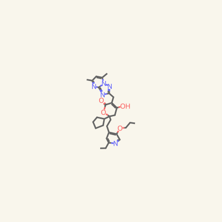 CCCOc1cnc(CC)cc1CCC1(C2CCCC2)CC(O)=C(Cc2nc3nc(C)cc(C)n3n2)C(=O)O1